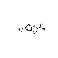 Cc1ccc2c(c1)OCC(C(N)=O)O2